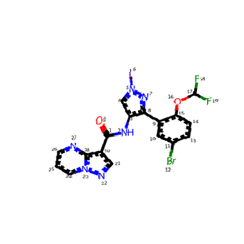 O=C(Nc1cn(I)nc1-c1cc(Br)ccc1OC(F)F)c1cnn2cccnc12